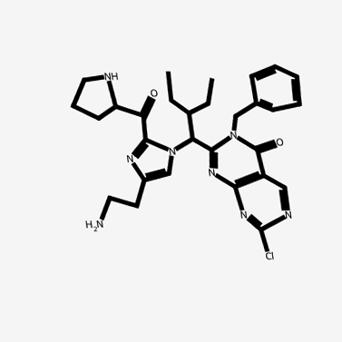 CCC(CC)C(c1nc2nc(Cl)ncc2c(=O)n1Cc1ccccc1)n1cc(CCN)nc1C(=O)C1CCCN1